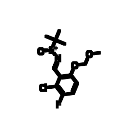 COCOc1ccc(F)c(Cl)c1C=N[S+]([O-])C(C)(C)C